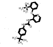 CC(C)(C)c1ccc(NC(=O)Nc2cccnc2Oc2ccccc2[Si](C)(C)C)cc1